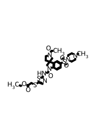 CCOC(=O)CSc1cnc(NC(=O)N2CC3(CCN(C(C)=O)C3)c3cc(S(=O)(=O)N4CCN(C)CC4)ccc32)s1